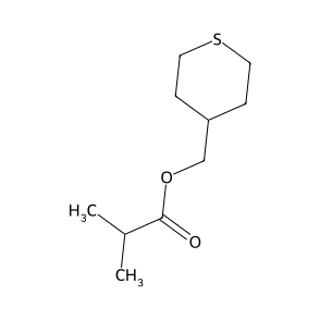 CC(C)C(=O)OCC1CCSCC1